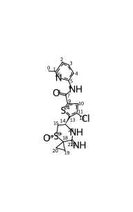 Cc1cccc(NC(=O)c2cc(Cl)c([C@@H]3C[S+]([O-])C4(CC4)C(=N)N3)s2)n1